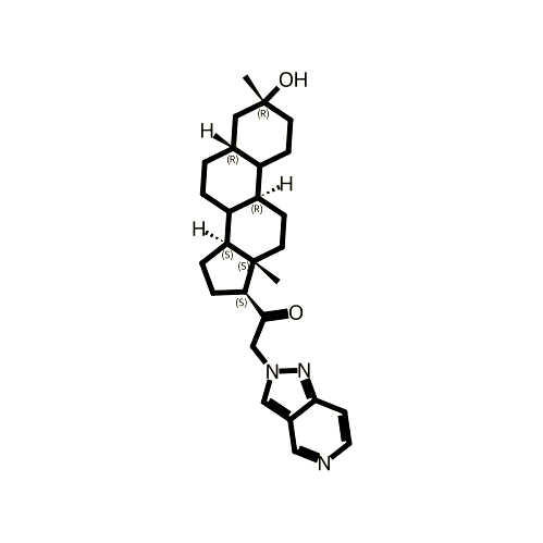 C[C@@]1(O)CCC2[C@H](CCC3[C@@H]2CC[C@]2(C)[C@@H](C(=O)Cn4cc5cnccc5n4)CC[C@@H]32)C1